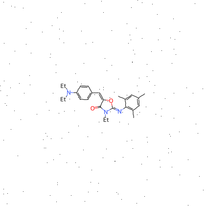 CCN1C(=O)/C(=C\c2ccc(N(CC)CC)cc2)OC1=Nc1c(C)cc(C)cc1C